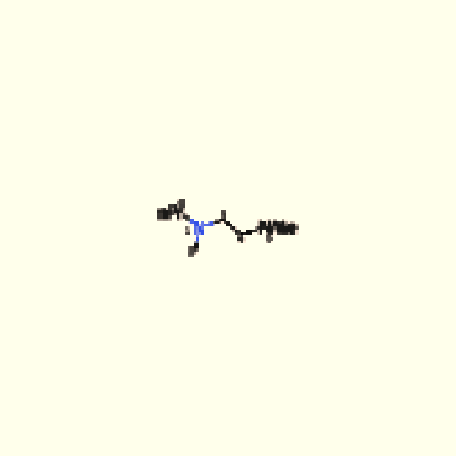 CCCN(C)CCNC